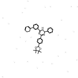 CC1(C)OC(c2ccc(C3=NC(c4ccccc4)NC(c4cccc(C5=CC=CCC5)c4)=N3)cc2)OC1(C)C